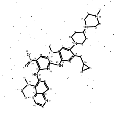 COc1cc(N2CCC(N3CCN(C)CC3)CC2)c(CC2CC2)cc1Nc1ncc([N+](=O)[O-])c(Nc2ccc3nccnc3c2N(C)SC)n1